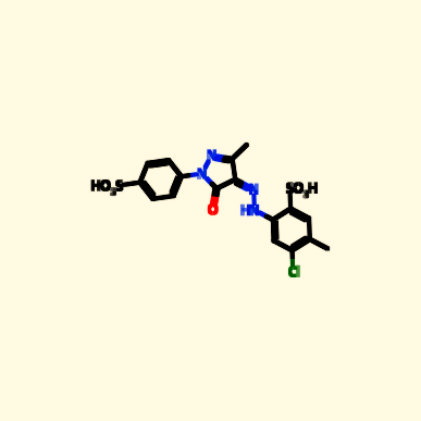 CC1=NN(c2ccc(S(=O)(=O)O)cc2)C(=O)/C1=N\Nc1cc(Cl)c(C)cc1S(=O)(=O)O